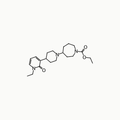 CCOC(=O)N1CCCC(N2CCC(c3cccn(CC)c3=O)CC2)CC1